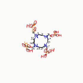 O=[PH](O)OCN1CCN(COP(O)O)CCN(COP(O)O)CCN(CO[PH](=O)O)CC1